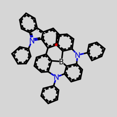 c1ccc(N2c3ccccc3B3c4c(-c5cccc6c7ccccc7n(-c7ccccc7)c56)cccc4N(c4ccccc4)c4cccc2c43)cc1